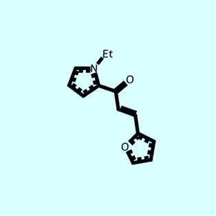 CCn1cccc1C(=O)/C=C/c1ccco1